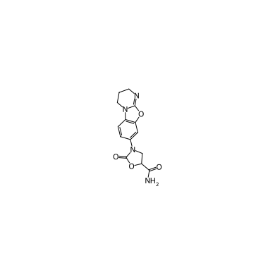 NC(=O)C1CN(c2ccc3c(c2)OC2=NCCCN23)C(=O)O1